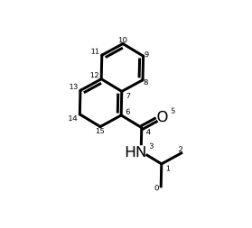 CC(C)NC(=O)C1=c2ccccc2=CCC1